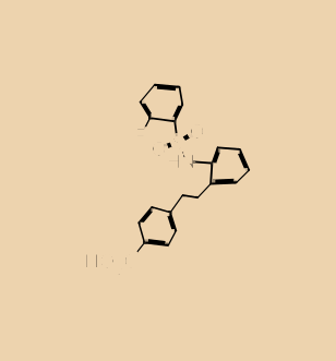 O=C(O)c1ccc(CCc2ccccc2NS(=O)(=O)c2ccccc2F)cc1